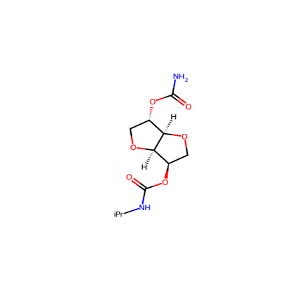 CC(C)NC(=O)O[C@@H]1CO[C@H]2[C@@H]1OC[C@@H]2OC(N)=O